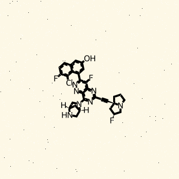 Oc1cc(-c2nnc3c(N4C[C@H]5C[C@@H]4CN5)nc(C#C[C@@]45CCCN4C[C@H](F)C5)nc3c2F)c2c(Cl)c(F)ccc2c1